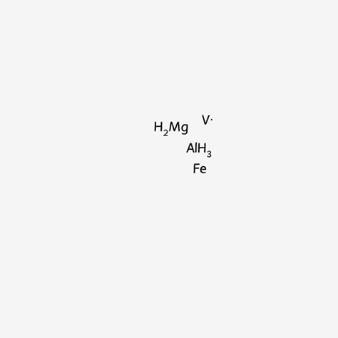 [AlH3].[Fe].[MgH2].[V]